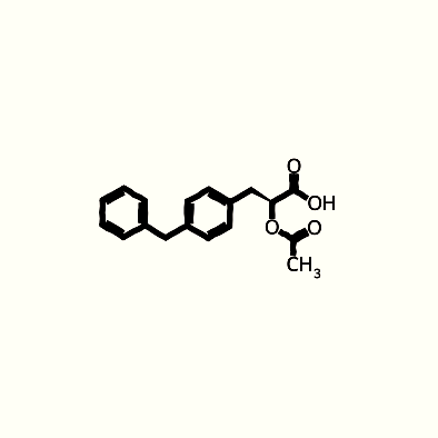 CC(=O)O[C@@H](Cc1ccc(Cc2ccccc2)cc1)C(=O)O